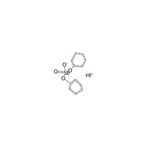 [IH+].[O]=[Sb]([O-])([O]c1ccccc1)[O]c1ccccc1